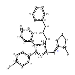 CN1CCC/C1=C\c1nc(-c2ccc(F)cc2)c(-c2ccncc2)n1CCCc1ccccc1